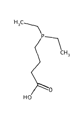 CCP(CC)CCCC(=O)O